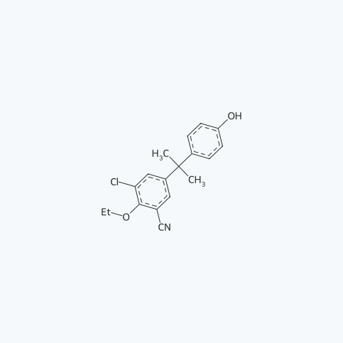 CCOc1c(Cl)cc(C(C)(C)c2ccc(O)cc2)cc1C#N